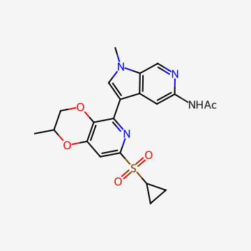 CC(=O)Nc1cc2c(-c3nc(S(=O)(=O)C4CC4)cc4c3OCC(C)O4)cn(C)c2cn1